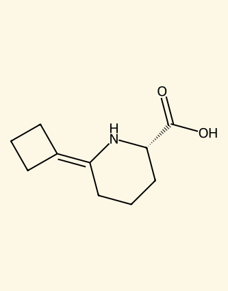 O=C(O)[C@@H]1CCCC(=C2CCC2)N1